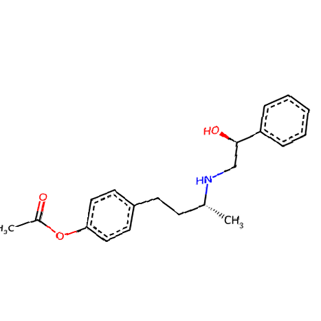 CC(=O)Oc1ccc(CC[C@@H](C)NC[C@@H](O)c2ccccc2)cc1